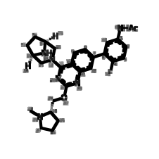 CC(=O)Nc1ccc(F)c(-c2ccc3c(N4C[C@H]5CC[C@@H](C4)N5)nc(OC[C@@H]4CCCN4C)nc3c2)c1